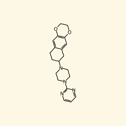 c1cnc(N2CCN(C3CCc4cc5c(cc4C3)OCCO5)CC2)nc1